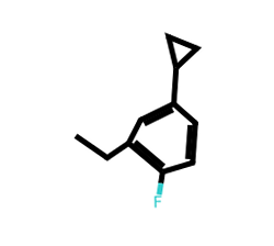 CCc1cc(C2CC2)ccc1F